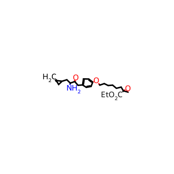 C=C1CC1CC(N)C(=O)Cc1ccc(OCCCCCCC2(C(=O)OCC)CO2)cc1